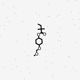 CCC(C)(C)C(=O)OC1CCC(OCOC)CC1